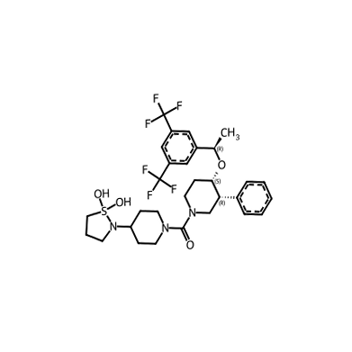 C[C@@H](O[C@H]1CCN(C(=O)N2CCC(N3CCCS3(O)O)CC2)C[C@H]1c1ccccc1)c1cc(C(F)(F)F)cc(C(F)(F)F)c1